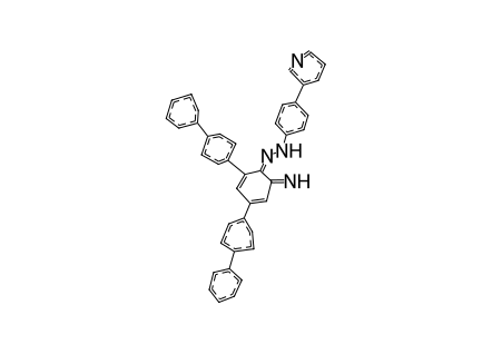 N=C1C=C(c2ccc(-c3ccccc3)cc2)C=C(c2ccc(-c3ccccc3)cc2)/C1=N/Nc1ccc(-c2cccnc2)cc1